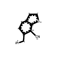 CC(C)Cc1ccc2ccsc2c1C#N